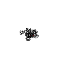 c1ccc(-c2ccc3c(c2)sc2cccc(N(c4ccc5c(c4)C4(c6ccccc6-5)C5CC6CC(C5)CC4C6)c4cccc5c6ccccc6n(-c6ccccc6)c45)c23)cc1